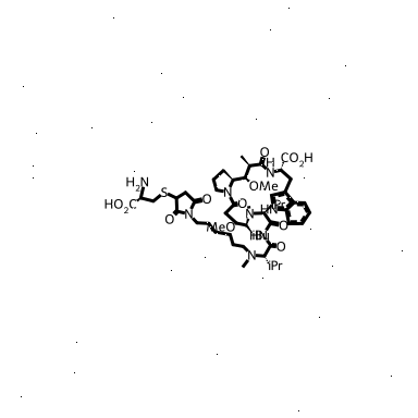 CC[C@H](C)[C@@H]([C@@H](CC(=O)N1CCC[C@H]1[C@H](OC)[C@@H](C)C(=O)N[C@@H](Cc1c[nH]c2ccccc12)C(=O)O)OC)N(C)[C@H](C(=O)NC(=O)[C@H](C(C)C)N(C)CCCCCCN1C(=O)CC(SC[C@H](N)C(=O)O)C1=O)C(C)C